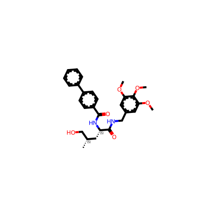 COc1cc(CNC(=O)[C@H](C[C@H](C)CO)NC(=O)c2ccc(-c3ccccc3)cc2)cc(OC)c1OC